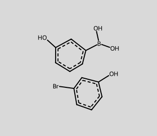 OB(O)c1cccc(O)c1.Oc1cccc(Br)c1